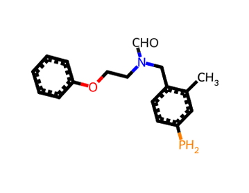 Cc1cc(P)ccc1CN(C=O)CCOc1ccccc1